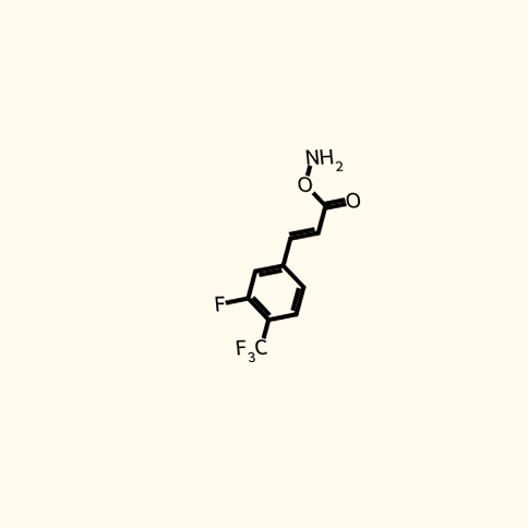 NOC(=O)/C=C/c1ccc(C(F)(F)F)c(F)c1